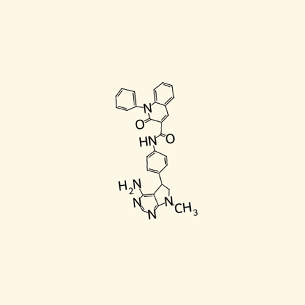 CN1CC(c2ccc(NC(=O)c3cc4ccccc4n(-c4ccccc4)c3=O)cc2)c2c(N)ncnc21